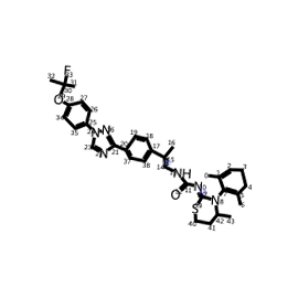 CC1=CCCC(C)=C1N1/C(=N/C(=O)N/C=C(\C)c2ccc(-c3ncn(-c4ccc(OC(C)(C)F)cc4)n3)cc2)SCCC1C